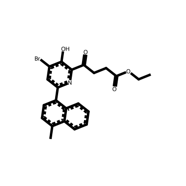 CCOC(=O)CCC(=O)c1nc(-c2ccc(C)c3ccccc23)cc(Br)c1O